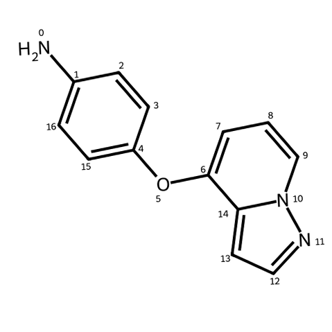 Nc1ccc(Oc2cccn3nccc23)cc1